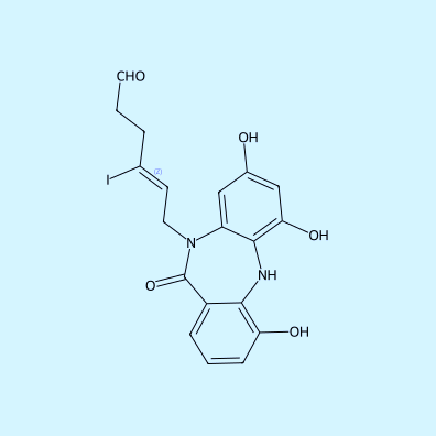 O=CCC/C(I)=C/CN1C(=O)c2cccc(O)c2Nc2c(O)cc(O)cc21